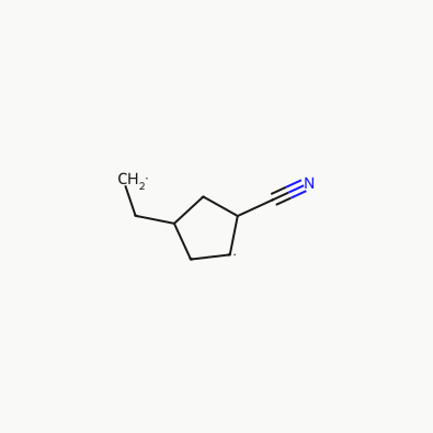 [CH2]CC1C[CH]C(C#N)C1